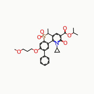 COCCCOc1cc2c(cc1-c1ccccc1)-c1c(cc(C(=O)OC(C)C)c(=O)n1C1CC1)C(C)S2(=O)=O